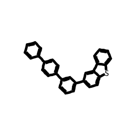 c1ccc(-c2ccc(-c3cccc(-c4ccc5sc6ccccc6c5c4)c3)cc2)cc1